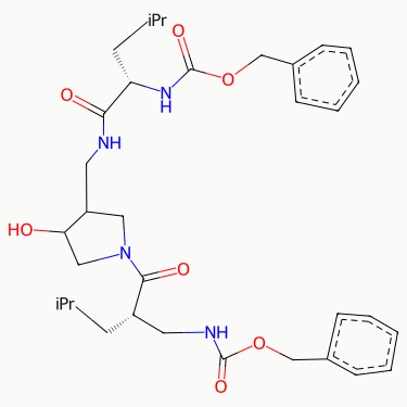 CC(C)C[C@@H](CNC(=O)OCc1ccccc1)C(=O)N1CC(O)C(CNC(=O)[C@H](CC(C)C)NC(=O)OCc2ccccc2)C1